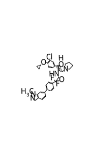 Cn1ncc2ccc(-c3ccc(C(F)(F)C(=O)N[C@H](CN4CCCC4)[C@H](O)c4ccc(OC5CC5)c(Cl)c4)cc3)cc21